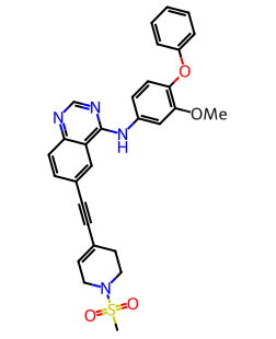 COc1cc(Nc2ncnc3ccc(C#CC4=CCN(S(C)(=O)=O)CC4)cc23)ccc1Oc1ccccc1